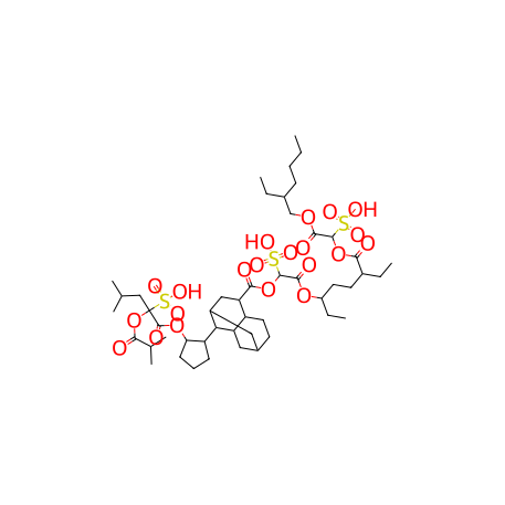 CCCCC(CC)COC(=O)C(OC(=O)C(CC)CCC(CC)OC(=O)C(OC(=O)C1CC2CC3CCC1C(C3)C2C1CCCC1OC(=O)C(CC(C)C)(OC(=O)C(C)C)S(=O)(=O)O)S(=O)(=O)O)S(=O)(=O)O